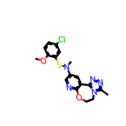 COc1ccc(Cl)cc1SN(C)c1cnc2c(c1)-c1nnc(C)n1CCO2